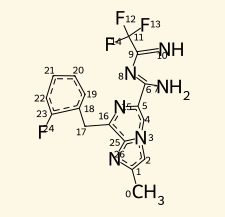 Cc1cn2cc(/C(N)=N/C(=N)C(F)(F)F)nc(Cc3ccccc3F)c2n1